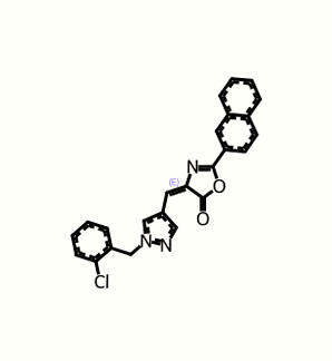 O=C1OC(c2ccc3ccccc3c2)=N/C1=C/c1cnn(Cc2ccccc2Cl)c1